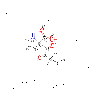 CCC(C)(C)C(=O)C(=O)[C@]1(C(=O)O)CCCN1